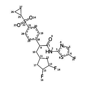 O=C(Nc1ncc(F)s1)C(CC1CC(F)C(F)C1)c1ccc(S(=O)(=O)C2CC2)cc1